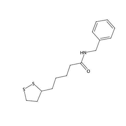 O=C(CCCCC1CCSS1)NCc1ccccc1